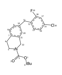 CC(C)(C)OC(=O)N1CCc2ccc(Cc3ccc(Cl)cc3F)cc2C1